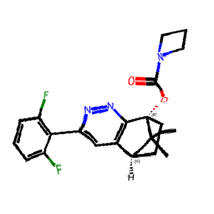 CC1(C)[C@H]2CC[C@]1(OC(=O)N1CCC1)c1nnc(-c3c(F)cccc3F)cc12